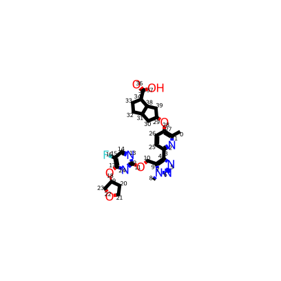 Cc1nc(-c2nnn(C)c2COc2ncc(F)c(O[C@H]3CCOC3)n2)ccc1OC1CC2CCC(C(=O)O)C2C1